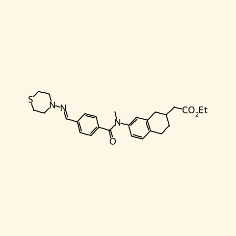 CCOC(=O)CC1CCc2ccc(N(C)C(=O)c3ccc(C=NN4CCSCC4)cc3)cc2C1